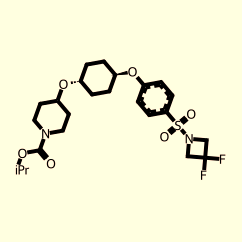 CC(C)OC(=O)N1CCC(O[C@H]2CC[C@H](Oc3ccc(S(=O)(=O)N4CC(F)(F)C4)cc3)CC2)CC1